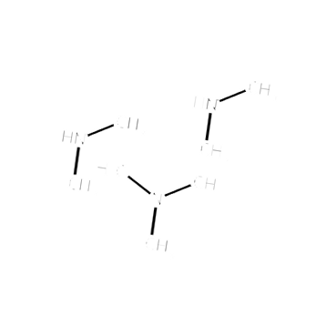 CN(C)C.CNC.CNC